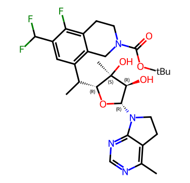 Cc1ncnc2c1CCN2[C@@H]1O[C@H](C(C)c2cc(C(F)F)c(F)c3c2CN(C(=O)OC(C)(C)C)CC3)[C@@](C)(O)[C@H]1O